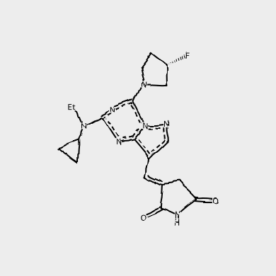 CCN(c1nc(N2CC[C@H](F)C2)n2ncc(/C=C3\CC(=O)NC3=O)c2n1)C1CC1